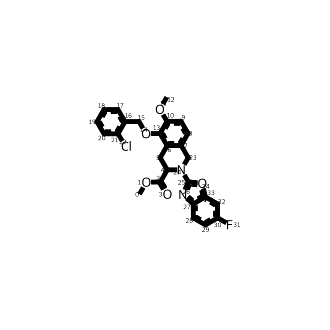 COC(=O)C1Cc2c(ccc(OC)c2OCc2ccccc2Cl)CN1c1nc2ccc(F)cc2o1